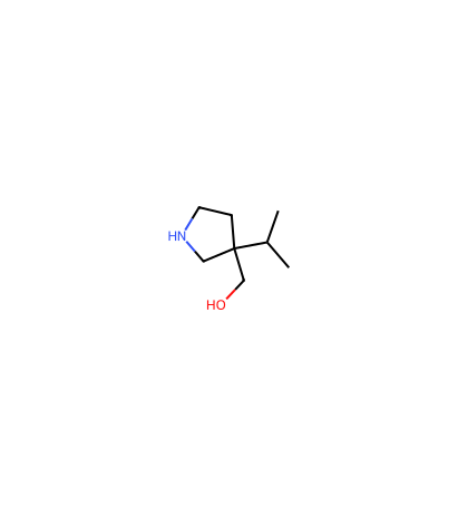 CC(C)C1(CO)CCNC1